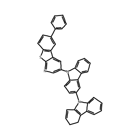 C1=Cc2c(c3ccccc3n2-c2ccc3c(c2)c2ccccc2n3-c2cnc3sc4ccc(-c5ccccc5)cc4c3c2)CC1